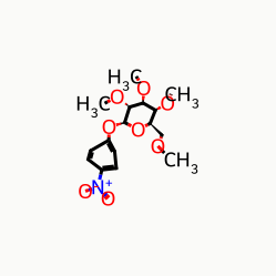 COC[C@H]1O[C@@H](Oc2ccc([N+](=O)[O-])cc2)[C@H](OC)[C@@H](OC)[C@H]1OC